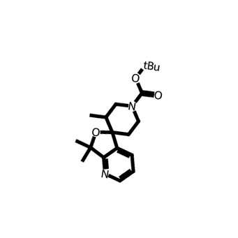 CC1CN(C(=O)OC(C)(C)C)CCC12OC(C)(C)c1ncccc12